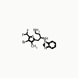 Cc1c(CC(CCN)Nn2cnc3ccccc32)sc(C(F)F)c1Br